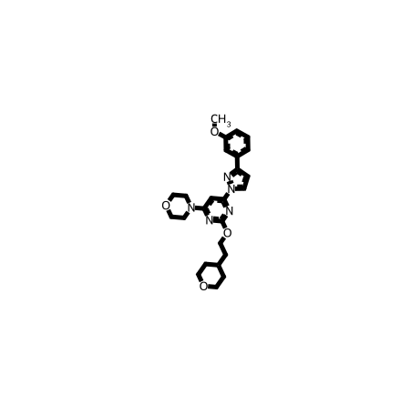 COc1cccc(-c2ccn(-c3cc(N4CCOCC4)nc(OCCC4CCOCC4)n3)n2)c1